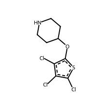 Clc1sc(OC2CCNCC2)c(Cl)c1Cl